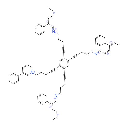 C\C=C/C=C(\C=N\CCCC#Cc1cc(C#CCCC[n+]2cccc(-c3ccccc3)c2)c(C#CCCC/N=C/C(=C\C=C/C)c2ccccc2)cc1C#CCCC/N=C/C=C\C(=C/C)c1ccccc1)c1ccccc1